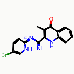 Cc1c(C(=N)/N=c2/ccc(Br)c[nH]2)[nH]c2ccccc2c1=O